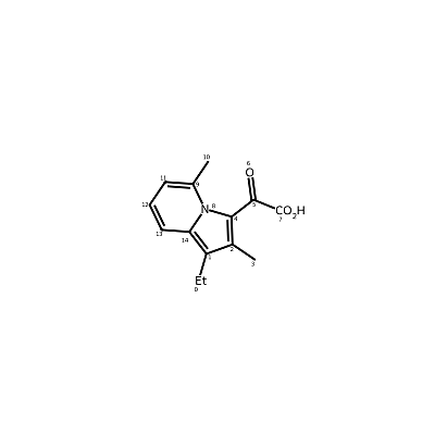 CCc1c(C)c(C(=O)C(=O)O)n2c(C)cccc12